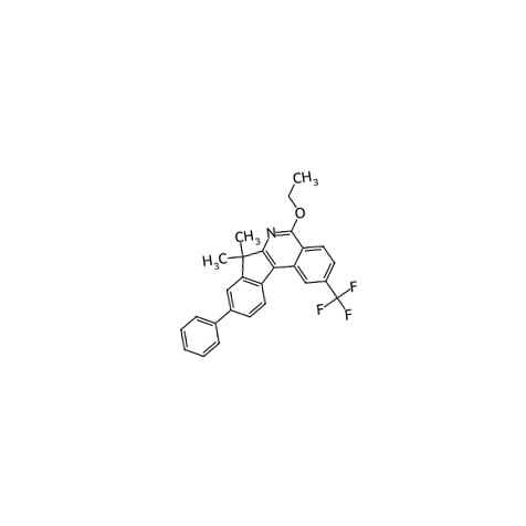 CCOc1nc2c(c3cc(C(F)(F)F)ccc13)-c1ccc(-c3ccccc3)cc1C2(C)C